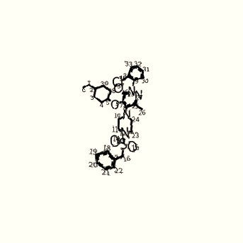 CCC1CCC(Oc2c(N3CCN(S(=O)(=O)Cc4ccccc4)CC3)c(C)nn(-c3ccccc3Cl)c2=O)CC1